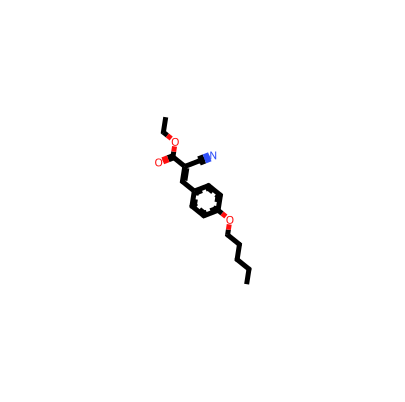 CCCCCOc1ccc(/C=C(\C#N)C(=O)OCC)cc1